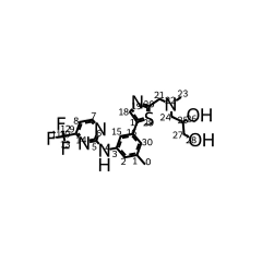 Cc1cc(Nc2nccc(C(F)(F)F)n2)cc(-c2cnc(CN(C)CC(O)CO)s2)c1